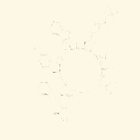 CCNC(=O)N[C@H](Cc1ccccc1)C(=O)N[C@H]1CSSC[C@@H](C(=O)O)NC(=O)[C@H]([C@@H](C)O)NC(=O)[C@H](CCCCNC(=O)OC(C)(C)C)NC(=O)[C@@H](Cc2c[nH]c3ccccc23)NC(=O)[C@H](Cc2ccc(O)cc2)NC1=O